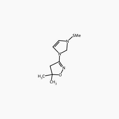 CSN1C=CN(C2=NOC(C)(C)C2)C1